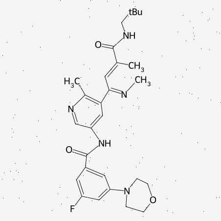 C/N=C(\C=C(/C)C(=O)NCC(C)(C)C)c1cc(NC(=O)c2cc(F)cc(N3CCOCC3)c2)cnc1C